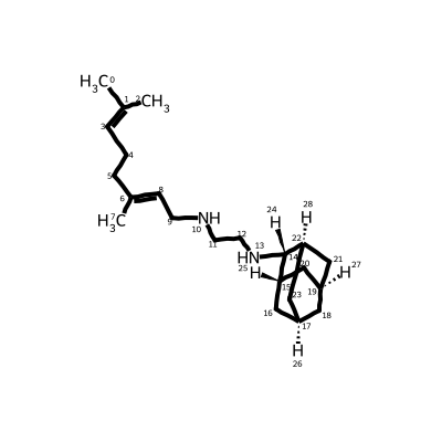 CC(C)=CCC/C(C)=C/CNCCN[C@H]1[C@H]2C[C@@H]3C[C@@H](C2)C[C@H]1C3